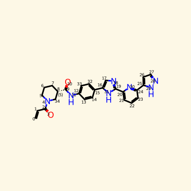 C=CC(=O)N1CCC[C@H](C(=O)Nc2ccc(-c3cnc(-c4cccc(-c5ccn[nH]5)n4)[nH]3)cc2)C1